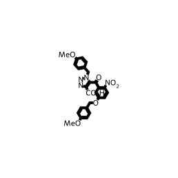 COc1ccc(COc2ccc([N+](=O)[O-])c(C(=O)c3c(C(=O)O)nnn3Cc3ccc(OC)cc3)c2)cc1